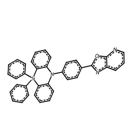 c1ccc([Si]2(c3ccccc3)c3ccccc3N(c3ccc(-c4nc5cccnc5o4)cc3)c3ccccc32)cc1